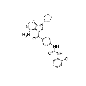 Nc1ncnc2c1c(C(=O)c1ccc(NC(=O)Nc3ccccc3Cl)cc1)cn2C1CCCC1